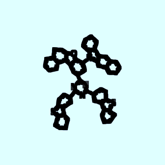 c1ccc2cc3c(cc2c1)c1ccccc1n3-c1cc(-c2nc(-c3ccc4sc5ccccc5c4c3)nc(-c3ccc4sc5ccccc5c4c3)n2)cc2c1oc1ccc3ccccc3c12